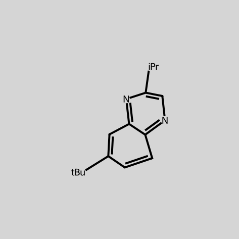 CC(C)c1cnc2ccc(C(C)(C)C)cc2n1